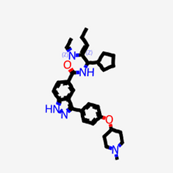 C/C=N\C(=C/CC)C(NC(=O)c1ccc2[nH]nc(-c3ccc(OC4CCN(C)CC4)cc3)c2c1)C1CCCC1